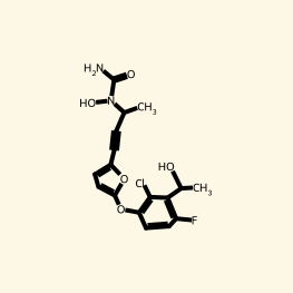 CC(O)c1c(F)ccc(Oc2ccc(C#CC(C)N(O)C(N)=O)o2)c1Cl